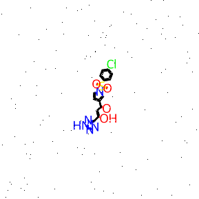 O=C(C=C(O)c1nn[nH]n1)c1ccn(S(=O)(=O)c2ccc(Cl)cc2)c1